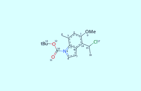 COc1cc(C)c2c(ccn2C(=O)OC(C)(C)C)c1C(C)Cl